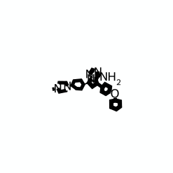 CN1CCN([C@H]2CC[C@H](c3cc(-c4ccc(Oc5ccccc5)cc4)c4c(N)ncnn43)CC2)CC1